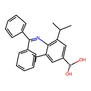 CC(C)c1cc(B(O)O)cc(C(C)C)c1N=C(c1ccccc1)c1ccccc1